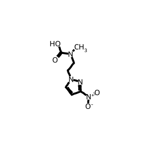 CN(CCn1ccc([N+](=O)[O-])n1)C(=O)O